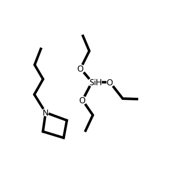 CCCCN1CCC1.CCO[SiH](OCC)OCC